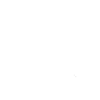 C1=CC(C2CCC(Oc3ccccn3)CC2)=CCC1